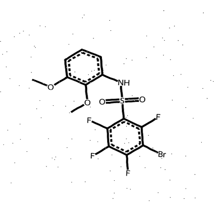 COc1cccc(NS(=O)(=O)c2c(F)c(F)c(F)c(Br)c2F)c1OC